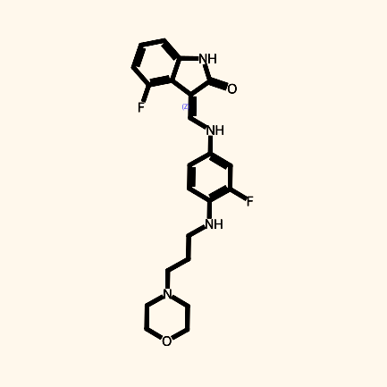 O=C1Nc2cccc(F)c2/C1=C/Nc1ccc(NCCCN2CCOCC2)c(F)c1